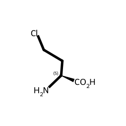 N[C@@H](CCCl)C(=O)O